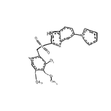 COc1c(C)cnc(CS(=O)(=O)c2nc3cc(-n4cccc4)ccc3[nH]2)c1C